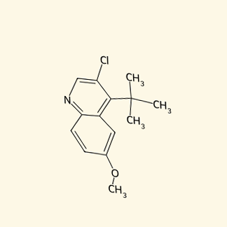 COc1ccc2ncc(Cl)c(C(C)(C)C)c2c1